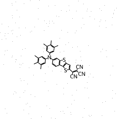 Cc1cc(N(c2cc(C)c(C)c(C)c2)c2ccc3c(c2)sc2cc(C(C#N)=C(C#N)C#N)sc23)cc(C)c1C